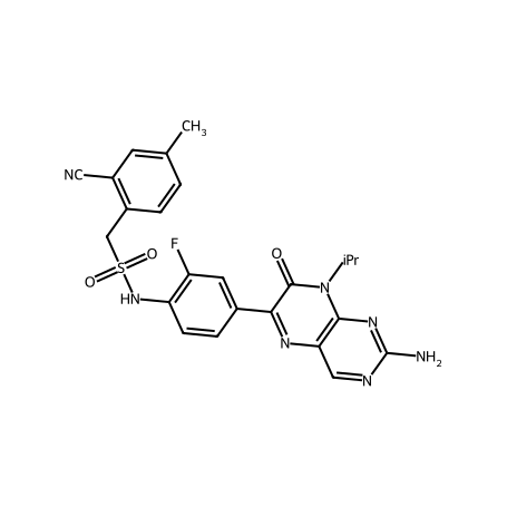 Cc1ccc(CS(=O)(=O)Nc2ccc(-c3nc4cnc(N)nc4n(C(C)C)c3=O)cc2F)c(C#N)c1